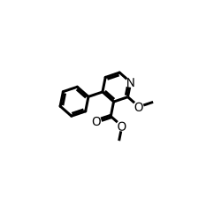 COC(=O)c1c(-c2ccccc2)ccnc1OC